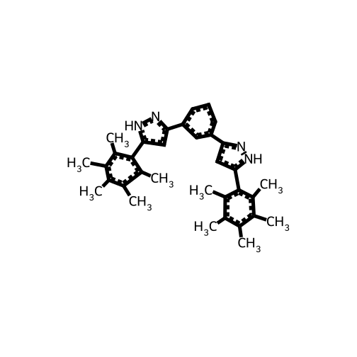 Cc1c(C)c(C)c(-c2cc(-c3cccc(-c4cc(-c5c(C)c(C)c(C)c(C)c5C)[nH]n4)c3)n[nH]2)c(C)c1C